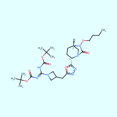 CCCCON1C(=O)N2C[C@@H]1CC[C@H]2c1nnc(CC2CN(/C(=N/C(=O)OC(C)(C)C)NC(=O)OC(C)(C)C)C2)o1